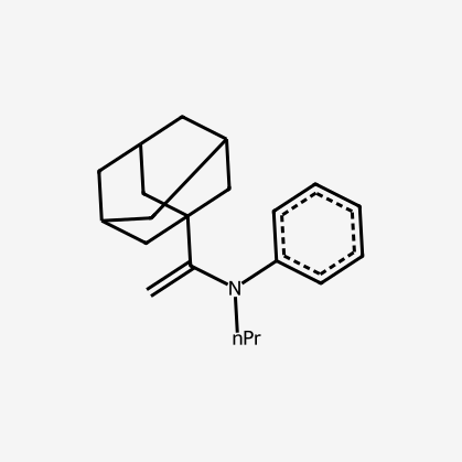 C=C(N(CCC)c1ccccc1)C12CC3CC(CC(C3)C1)C2